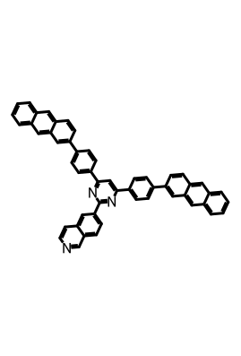 c1ccc2cc3cc(-c4ccc(-c5cc(-c6ccc(-c7ccc8cc9ccccc9cc8c7)cc6)nc(-c6ccc7cnccc7c6)n5)cc4)ccc3cc2c1